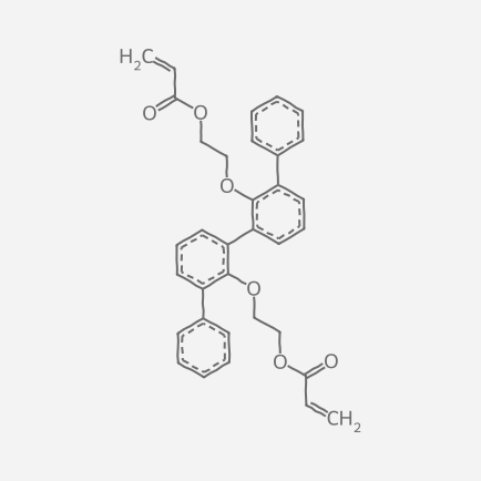 C=CC(=O)OCCOc1c(-c2ccccc2)cccc1-c1cccc(-c2ccccc2)c1OCCOC(=O)C=C